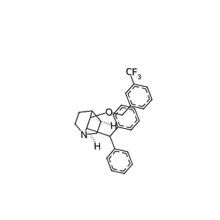 FC(F)(F)c1cccc(CO[C@@H]2C3CCN(CC3)[C@@H]2C(c2ccccc2)c2ccccc2)c1